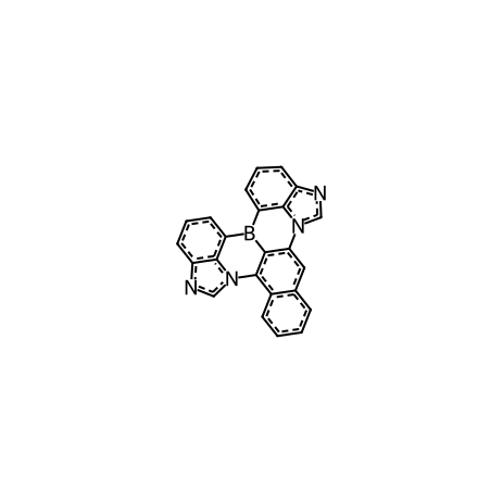 c1ccc2c3c4c(cc2c1)-n1cnc2cccc(c21)B4c1cccc2ncn-3c12